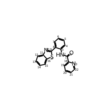 O=C(Nc1ccccc1-c1nc2ccccc2s1)c1ccccn1